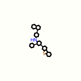 c1ccc(-c2cc(-c3ccc4c(c3)sc3ccccc34)ccc2Nc2ccc(-c3cccc4ccccc34)cc2)cc1